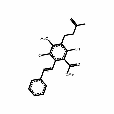 C=C(C)CCc1c(O)c(C(=O)OC)c(/C=C/c2ccccc2)c(Cl)c1OC